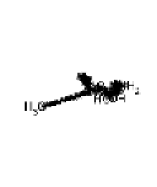 CCCCCCCCCCCCCCCCCCOC[C@H](COP(=O)(O)OC[C@H]1OC(c2ccc3c(N)ncnn23)[C@H](O)[C@@H]1O)OCc1ccc2c(c1)CCC2